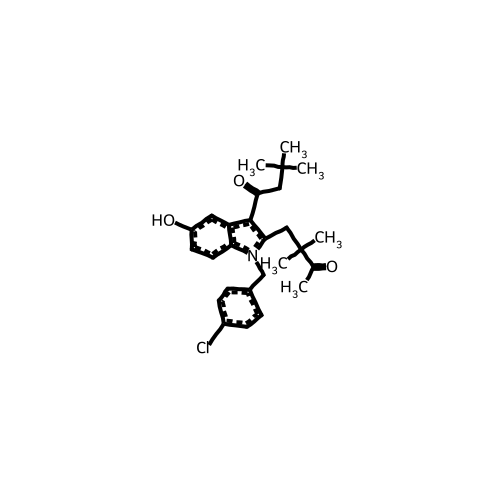 CC(=O)C(C)(C)Cc1c(C(=O)CC(C)(C)C)c2cc(O)ccc2n1Cc1ccc(Cl)cc1